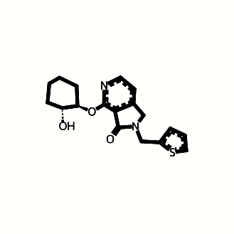 O=C1c2c(ccnc2O[C@@H]2CCCC[C@H]2O)CN1Cc1cccs1